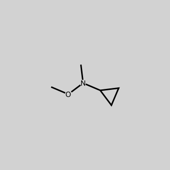 CON(C)C1CC1